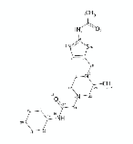 CC(=O)Nc1ncc(CN2CCN(CC(=O)NC3CCCCC3)CC2C)s1